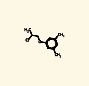 Cc1cc(C)cc(OCC(C)Cl)c1